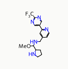 COC(NCc1ccnc(-c2cnc(C(F)(F)F)nc2)c1)C1CCCN1